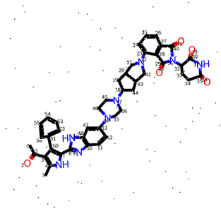 CC(=O)c1c(C)[nH]c(-c2nc3ccc(N4CCN(C5CC6CN(c7cccc8c7C(=O)N(C7CCC(=O)NC7=O)C8=O)CC6C5)CC4)cc3[nH]2)c1-c1ccccc1